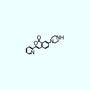 O=c1oc(-c2ccccn2)cc2ccc(N3CCNCC3)cc12